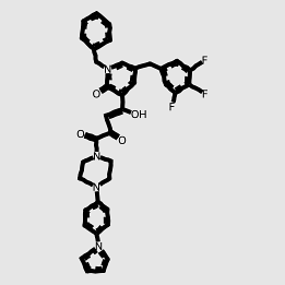 O=C(C=C(O)c1cc(Cc2cc(F)c(F)c(F)c2)cn(Cc2ccccc2)c1=O)C(=O)N1CCN(c2ccc(-n3cccc3)cc2)CC1